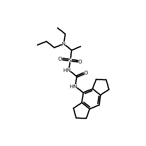 CCCN(CC)C(C)S(=O)(=O)NC(=O)Nc1c2c(cc3c1CCC3)CCC2